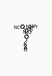 CC(C)NC(=O)Cn1c(-c2cccc(C#N)c2)nn(-c2ccc(CCN3CC4(COC4)C3)cc2)c1=O